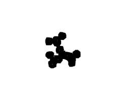 c1ccc(-c2cc(-c3ccccc3)cc(-c3ccc(N(c4ccc5c(c4)c4ccccc4n5-c4ccccc4)c4ccc5c6ccccc6n(-c6ccccc6)c5c4)cc3)c2)cc1